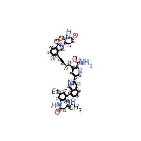 CCc1cc2c(c(-c3cccc4cc(-c5cnc(C(N)=O)c(CCC#Cc6cccc7c6CN(C6CCC(=O)NC6=O)C7=O)c5)ncc34)c1)N[C@H](C)CC(=O)N2